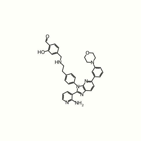 Nc1ncccc1-c1nc2ccc(-c3cccc(N4CCOCC4)c3)nc2n1-c1ccc(CCNCc2ccc(C=O)c(O)c2)cc1